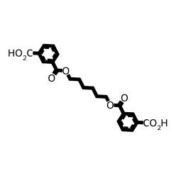 O=C(O)c1cccc(C(=O)OCCCCCCOC(=O)c2cccc(C(=O)O)c2)c1